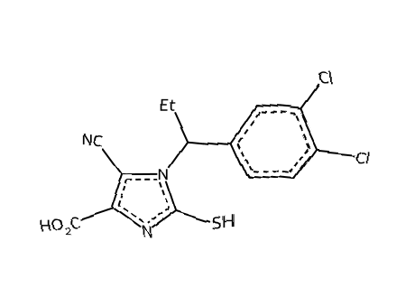 CCC(c1ccc(Cl)c(Cl)c1)n1c(S)nc(C(=O)O)c1C#N